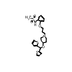 CS(=O)(=O)Nc1ccccc1OCCCN1CCC(OC(c2cccs2)c2cccs2)CC1